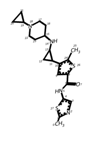 Cc1ncc(NC(=O)c2cc(C3CC3NC3CCN(C4CC4)CC3)c(C)s2)s1